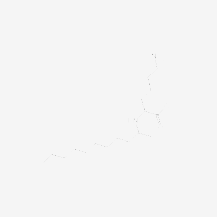 CCCCCCCCCC(C)NC(CCCCN)C(=O)O